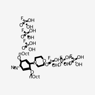 CCCCCCCCOC1=CC(=[N+]=[N-])C(OCCCCCCCC)C=C1N1CCOCC1.O=P(O)(O)F.O=P(O)(O)F.O=P(O)(O)F.O=P(O)(O)F.O=P(O)(O)F.O=P(O)(O)F